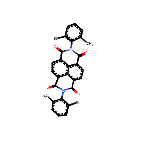 CCc1cccc(C)c1N1C(=O)c2ccc3c4c(ccc(c24)C1=O)C(=O)N(c1c(C)cccc1CC)C3=O